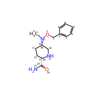 CN(OCc1ccccc1)[C@@H]1CC[C@@H](C(N)=O)NC1